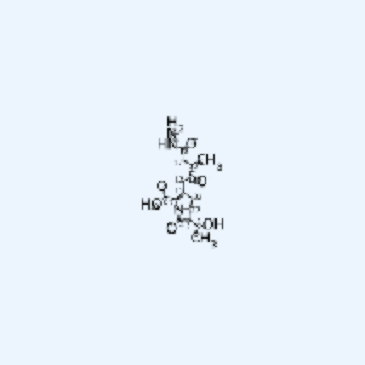 CC(O)C1C(=O)N2C(C(=O)O)=C(C[S+]([O-])C(C)CC(=O)NN)CC12